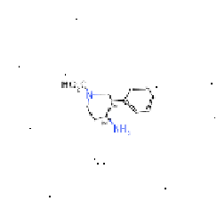 N[C@H]1CCN(C(=O)O)C[C@H]1c1ccccc1